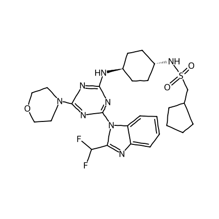 O=S(=O)(CC1CCCC1)N[C@H]1CC[C@H](Nc2nc(N3CCOCC3)nc(-n3c(C(F)F)nc4ccccc43)n2)CC1